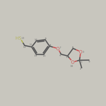 CC1(C)OCC(COc2ccc(CS)cc2)O1